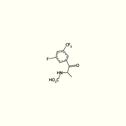 CC(NC(=O)O)C(=O)c1cc(F)cc(C(F)(F)F)c1